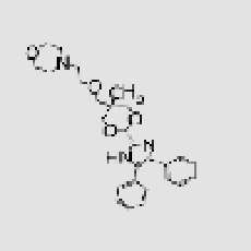 C[C@]1(COCCN2CCOCC2)CO[C@@H](c2nc(-c3ccccc3)c(-c3ccccc3)[nH]2)OC1